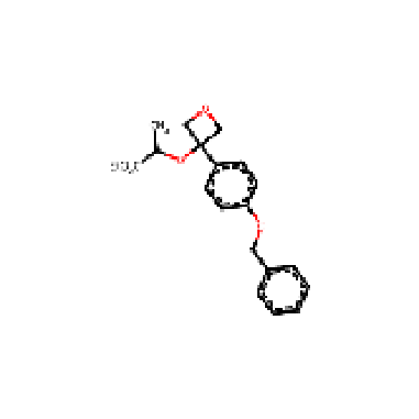 CCOC(=O)C(C)OC1(c2ccc(OCc3ccccc3)cc2)COC1